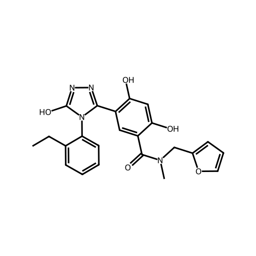 CCc1ccccc1-n1c(O)nnc1-c1cc(C(=O)N(C)Cc2ccco2)c(O)cc1O